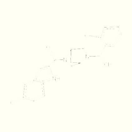 CC(c1ccccc1Cl)N1CC2CC1CN2C(=O)c1cc2cc(Cl)ccc2[nH]1